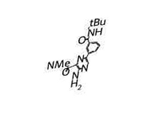 CNC(=O)c1nc(-c2cccc(C(=O)NCC(C)(C)C)c2)cnc1N